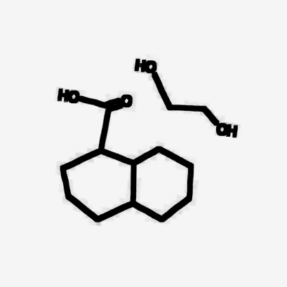 O=C(O)C1CCCC2CCCCC21.OCCO